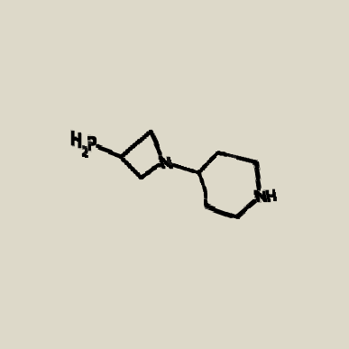 PC1CN(C2CCNCC2)C1